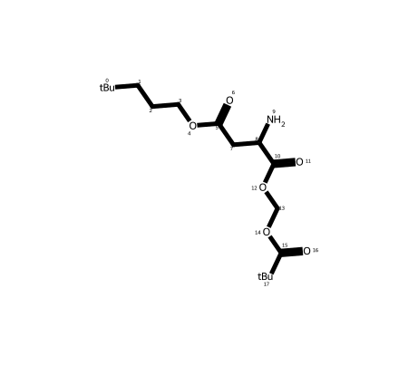 CC(C)(C)CCCOC(=O)CC(N)C(=O)OCOC(=O)C(C)(C)C